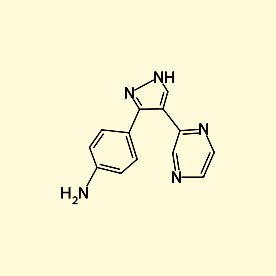 Nc1ccc(-c2n[nH]cc2-c2cnccn2)cc1